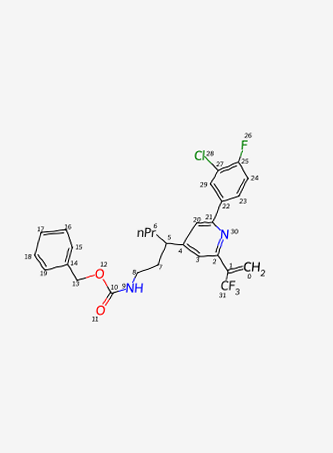 C=C(c1cc(C(CCC)CCNC(=O)OCc2ccccc2)cc(-c2ccc(F)c(Cl)c2)n1)C(F)(F)F